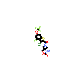 O=C1NC2(CO1)CN(C(=O)c1sc3cc(OC(F)(F)F)cc(F)c3c1Cl)C2